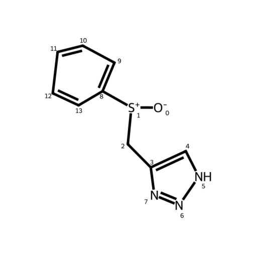 [O-][S+](Cc1c[nH]nn1)c1ccccc1